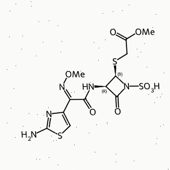 CON=C(C(=O)N[C@@H]1C(=O)N(S(=O)(=O)O)[C@@H]1SCC(=O)OC)c1csc(N)n1